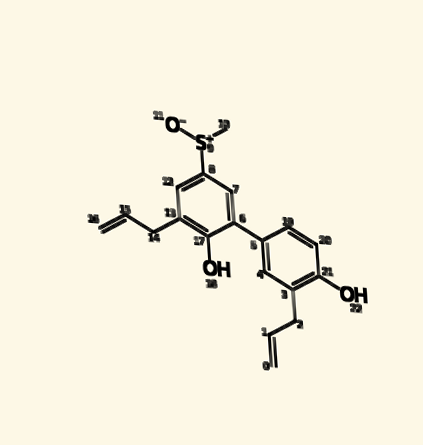 C=CCc1cc(-c2cc([S+](C)[O-])cc(CC=C)c2O)ccc1O